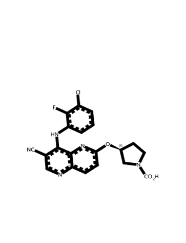 N#Cc1cnc2ccc(O[C@H]3CCN(C(=O)O)C3)nc2c1Nc1cccc(Cl)c1F